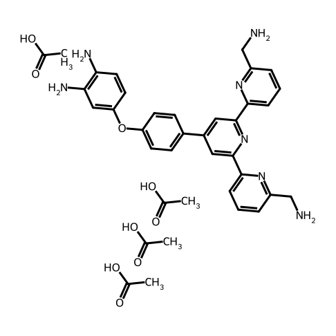 CC(=O)O.CC(=O)O.CC(=O)O.CC(=O)O.NCc1cccc(-c2cc(-c3ccc(Oc4ccc(N)c(N)c4)cc3)cc(-c3cccc(CN)n3)n2)n1